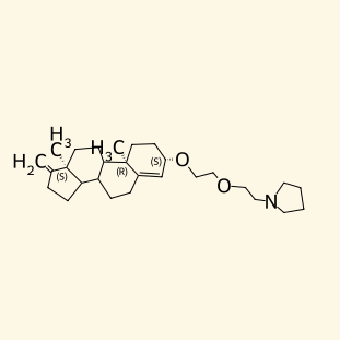 C=C1CCC2C3CCC4=C[C@@H](OCCOCCN5CCCC5)CC[C@]4(C)C3CC[C@]12C